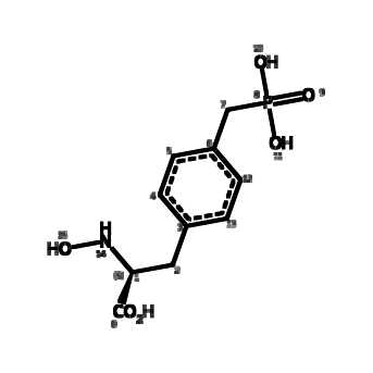 O=C(O)[C@H](Cc1ccc(CP(=O)(O)O)cc1)NO